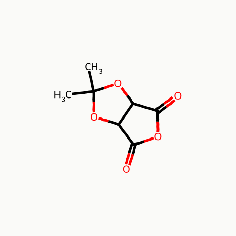 CC1(C)OC2C(=O)OC(=O)C2O1